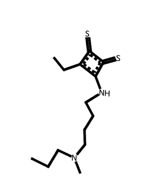 CCCN(C)CCCCNc1c(CC)c(=S)c1=S